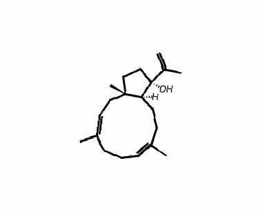 C=C(C)[C@]1(O)CC[C@@]2(C)C/C=C(/C)CC/C=C(/C)CC[C@@H]21